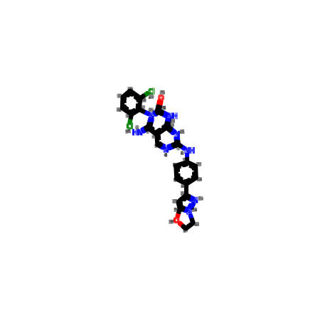 N=c1c2cnc(Nc3ccc(-c4cc5n(n4)CCO5)cc3)nc2[nH]c(=O)n1-c1c(Cl)cccc1Cl